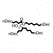 CCCCCCCCCCCCCCC(CCCCCCCCCCCC)C(=O)O.CCCCCCCCCCCCCCCCOC(=O)CCCCCCCCCCCCC